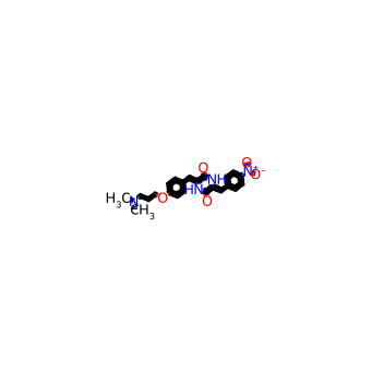 CN(C)CCCOc1ccc(/C=c2\[nH]c(=O)/c(=C/c3ccc([N+](=O)[O-])cc3)[nH]c2=O)cc1